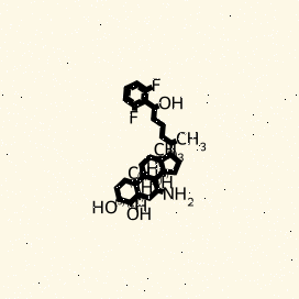 CC(CCCC(O)c1c(F)cccc1F)[C@H]1CC[C@H]2[C@@H]3C(N)C[C@H]4[C@@H](O)[C@@H](O)CC[C@]4(C)[C@H]3CC[C@]12C